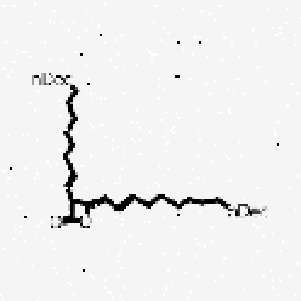 CCCCCCCCCCCCCCCCC=CC=C1OC(=O)C1C=CCCCCCCCCCCCCCCCC